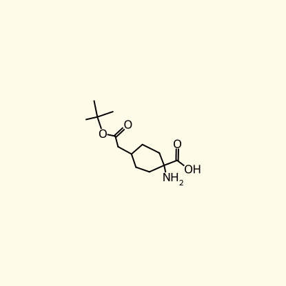 CC(C)(C)OC(=O)CC1CCC(N)(C(=O)O)CC1